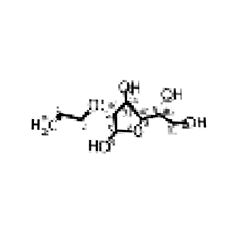 C=CCO[C@H]1C(O)O[C@H]([C@H](O)CO)[C@@H]1O